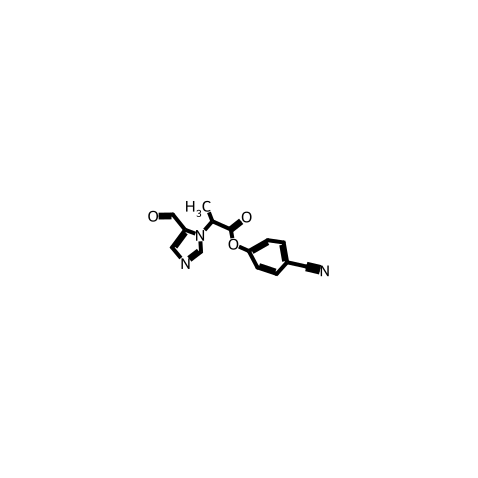 CC(C(=O)Oc1ccc(C#N)cc1)n1cncc1C=O